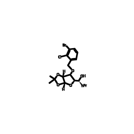 CCC[C@@H](O)[C@H]1O[C@@H]2OC(C)(C)O[C@@H]2[C@H]1OCc1cccc(Br)c1Cl